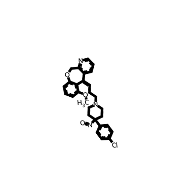 COc1cccc2c1C(=CCCN1CCC(N=O)(c3ccc(Cl)cc3)CC1)c1cccnc1CO2